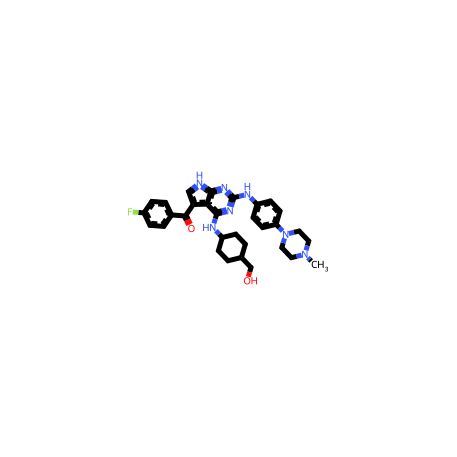 CN1CCN(c2ccc(Nc3nc(NC4CCC(CO)CC4)c4c(C(=O)c5ccc(F)cc5)c[nH]c4n3)cc2)CC1